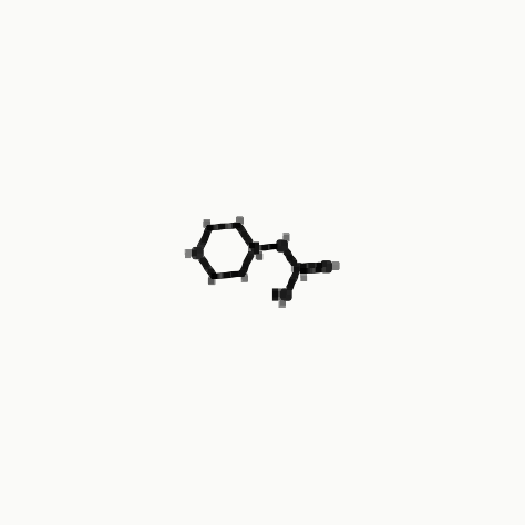 O=[P](O)ON1CCOCC1